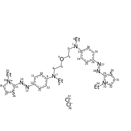 CCN(CCOCCN(CC)c1ccc(N=Nc2scc[n+]2CC)cc1)c1ccc(N=Nc2scc[n+]2CC)cc1.[Cl-].[Cl-]